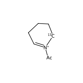 C[13C](=O)[N+]1=CCCC[13CH2]1